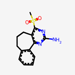 CS(=O)(=O)c1nc(N)nc2c1CCCc1ccccc1-2